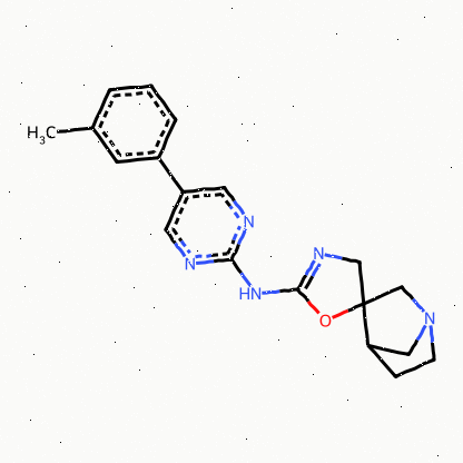 Cc1cccc(-c2cnc(NC3=NCC4(CN5CCC4C5)O3)nc2)c1